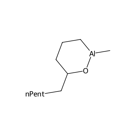 CCCCCCC1CC[CH2][Al]([CH3])[O]1